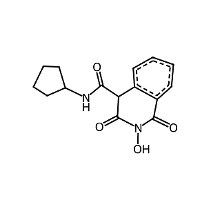 O=C(NC1CCCC1)C1C(=O)N(O)C(=O)c2ccccc21